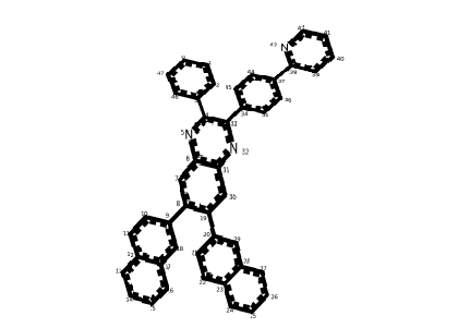 c1ccc(-c2nc3cc(-c4ccc5ccccc5c4)c(-c4ccc5ccccc5c4)cc3nc2-c2ccc(-c3ccccn3)cc2)cc1